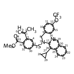 C=C(C)c1cc(SN(Cc2ccc(OC(F)(F)F)cc2)c2ncc3ccccc3c2C2CC2)ccc1C(=O)OC